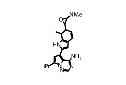 CNC1OC1C1C=Cc2cc(-c3cc(C(C)C)n4ncnc(N)c34)[nH]c2C1C